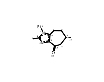 CCn1c(C)nc2c1CC[C@H](C)CC2=O